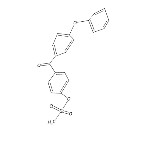 CS(=O)(=O)Oc1ccc(C(=O)c2ccc(Oc3ccccc3)cc2)cc1